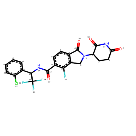 O=C1CCC(N2Cc3c(ccc(C(=O)NC(c4ccccc4Cl)C(F)(F)F)c3F)C2=O)C(=O)N1